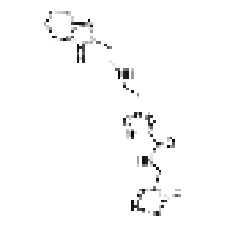 O=C(NCc1cnccc1F)c1noc(CCNCCc2nc3ccccc3[nH]2)n1